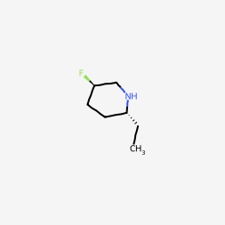 CC[C@@H]1CC[C@@H](F)CN1